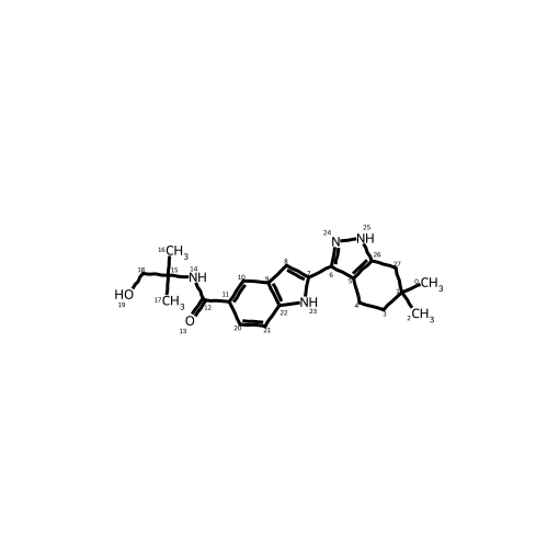 CC1(C)CCc2c(-c3cc4cc(C(=O)NC(C)(C)CO)ccc4[nH]3)n[nH]c2C1